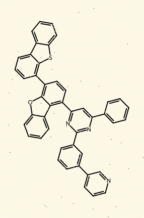 c1ccc(-c2cc(-c3ccc(-c4cccc5c4sc4ccccc45)c4oc5ccccc5c34)nc(-c3cccc(-c4cccnc4)c3)n2)cc1